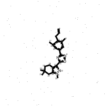 C=CCc1c(C)cc(-c2noc(-c3nn(C)c4c3CCC(C)(C)C4)n2)cc1C